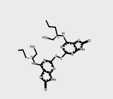 CCC[C@H](CO)Nc1nc(SSc2nc(N[C@@H](CO)CCC)c3sc(=O)[nH]c3n2)nc2[nH]c(=O)sc12